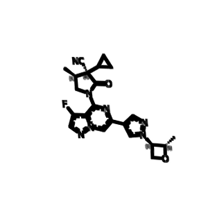 C[C@@H]1OC[C@H]1n1cc(-c2cn3ncc(F)c3c(N3C[C@@H](C)[C@@](C#N)(C4CC4)C3=O)n2)cn1